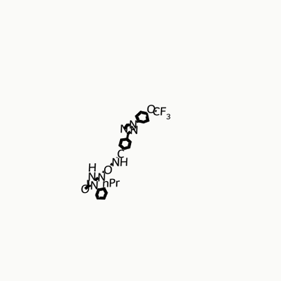 CCCc1ccccc1N1C(=O)CN/C1=N\COCNCCc1ccc(-c2ncn(-c3ccc(OC(F)(F)F)cc3)n2)cc1